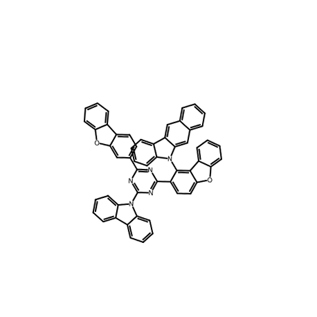 c1ccc2cc3c(cc2c1)c1ccccc1n3-c1c(-c2nc(-c3ccc4c(c3)oc3ccccc34)nc(-n3c4ccccc4c4ccccc43)n2)ccc2oc3ccccc3c12